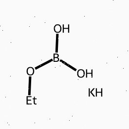 CCOB(O)O.[KH]